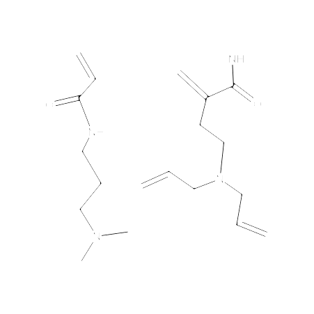 C=CC(=O)NCCCN(C)C.C=CCN(CC=C)CCC(=C)C(N)=O